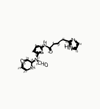 O=CN(c1ccc(NC(=O)CCCc2ncc[nH]2)s1)C1COCCN1